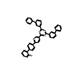 Brc1ccccc1-c1ccc(-c2ccc(-c3nc(-c4cccc(-c5ccccc5)c4)nc(-c4cccc(-c5ccccc5)c4)n3)cn2)cc1